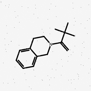 C=C(N1CCc2ccccc2C1)C(C)(C)C